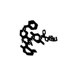 Cc1cccc(C)c1-c1nc2c(c(N3CC(C)N(C(=O)OC(C)(C)C)CC3C)n1)CN(Cc1ccccc1)CC2